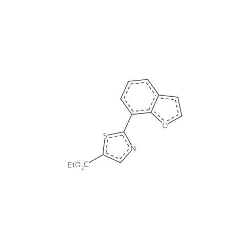 CCOC(=O)c1cnc(-c2cccc3ccoc23)s1